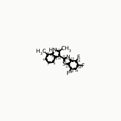 Cc1[nH]c2c(C)cccc2c1-c1nc2c(F)c(F)cc(F)c2s1